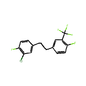 Fc1ccc(C[CH]c2ccc(F)c(C(F)(F)F)c2)cc1Cl